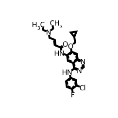 CCN(CC)C/C=C/C(=O)Nc1cc2c(Nc3ccc(F)c(Cl)c3)ncnc2cc1OCC1CC1